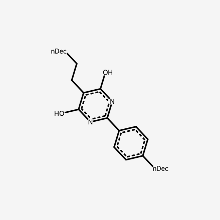 CCCCCCCCCCCCc1c(O)nc(-c2ccc(CCCCCCCCCC)cc2)nc1O